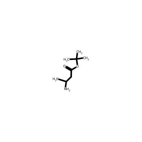 CC(C)(C)OC(=O)CC(N)N